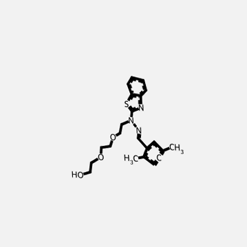 Cc1ccc(C)c(/C=N/N(CCOCCOCCO)c2nc3ccccc3s2)c1